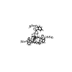 CCC(COC(=O)c1ccccc1OC)(COC(=O)c1c(OC)cccc1OC)COC(=O)c1c(OC)cccc1OC